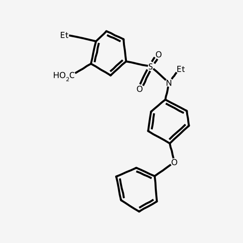 CCc1ccc(S(=O)(=O)N(CC)c2ccc(Oc3ccccc3)cc2)cc1C(=O)O